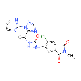 CC(NC(=O)Nc1cc2c(cc1Cl)C(=O)N(C)C2=O)c1ncnn1-c1ncccn1